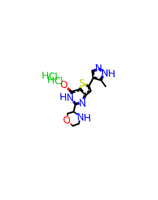 Cc1[nH]ncc1-c1cc2nc(C3COCCN3)[nH]c(=O)c2s1.Cl.Cl